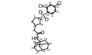 O=C(CC1CCN(S(=O)(=O)c2ccc(Cl)cc2Cl)C1)NC12CC3CC(CC(C3)C1)C2